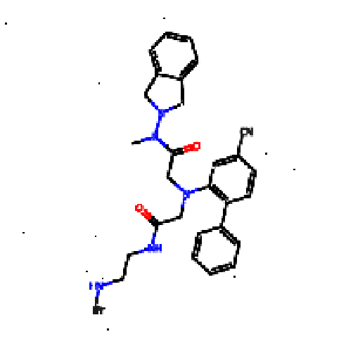 CC(C)NCCNC(=O)CN(CC(=O)N(C)N1Cc2ccccc2C1)c1cc(C#N)ccc1-c1ccccc1